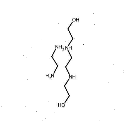 NCCN.OCCNCCNCCO